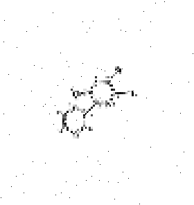 Clc1nc2c(cc1Br)oc1ccccc12